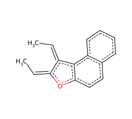 C/C=c1\c(=C/C)oc2ccc3ccccc3c12